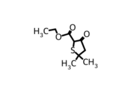 CCOC(=O)C1SC(C)(C)CC1=O